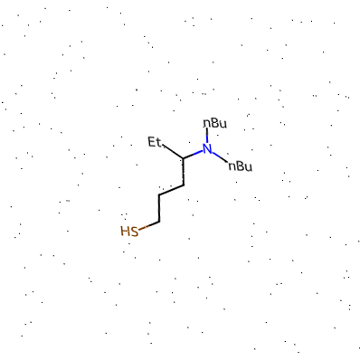 CCCCN(CCCC)C(CC)CCCS